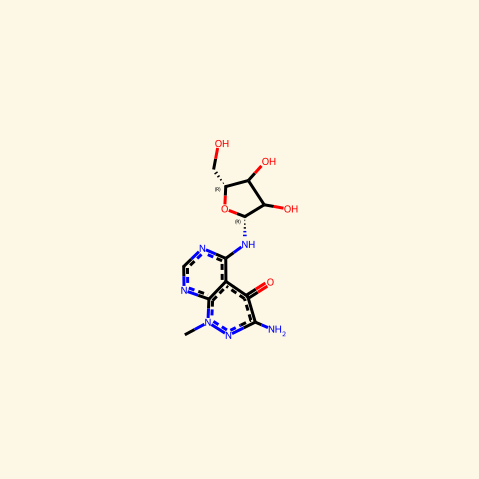 Cn1nc(N)c(=O)c2c(N[C@@H]3O[C@H](CO)C(O)C3O)ncnc21